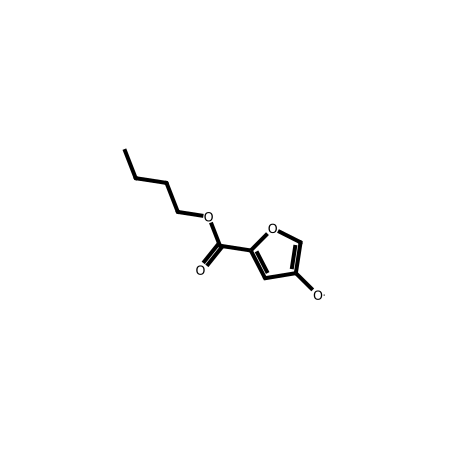 CCCCOC(=O)c1cc([O])co1